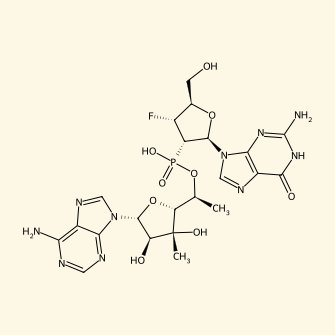 C[C@H](OP(=O)(O)[C@@H]1[C@H](F)[C@@H](CO)O[C@H]1n1cnc2c(=O)[nH]c(N)nc21)[C@H]1O[C@@H](n2cnc3c(N)ncnc32)[C@H](O)[C@@]1(C)O